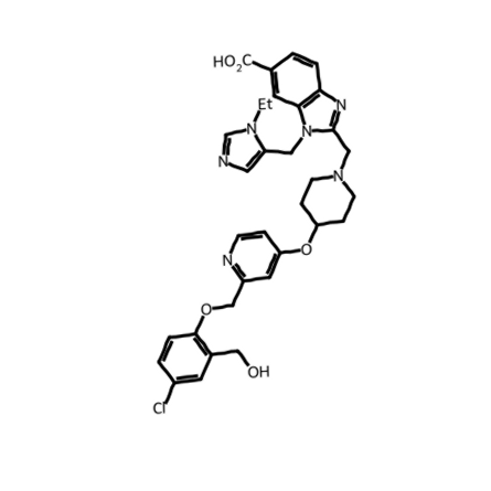 CCn1cncc1Cn1c(CN2CCC(Oc3ccnc(COc4ccc(Cl)cc4CO)c3)CC2)nc2ccc(C(=O)O)cc21